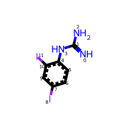 N=C(N)Nc1ccc(I)cc1I